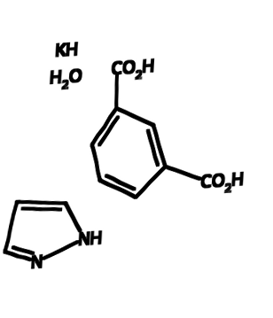 O.O=C(O)c1cccc(C(=O)O)c1.[KH].c1cn[nH]c1